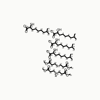 CC(C)CCCCCC(S)C(=O)[O-].CC(C)CCCCCC(S)C(=O)[O-].CC(C)CCCCCC(S)C(=O)[O-].CC(C)CCCCCC(S)C(=O)[O-].COC(=O)C[CH2][Sn][CH2]CC(=O)OC.COC(=O)C[CH2][Sn][CH2]CC(=O)OC.[S-2]